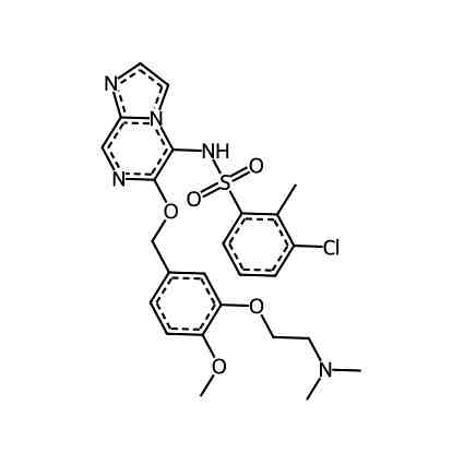 COc1ccc(COc2ncc3nccn3c2NS(=O)(=O)c2cccc(Cl)c2C)cc1OCCN(C)C